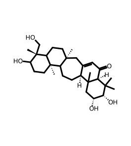 CC1(C)[C@H](O)[C@H](O)CC2(C)[C@H]3CCC4[C@@](C)(CCC5[C@@](C)(CO)C(O)CC[C@]45C)CC3=CC(=O)[C@@H]12